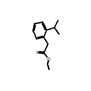 CCOC(=S)Cc1ccccc1C(C)C